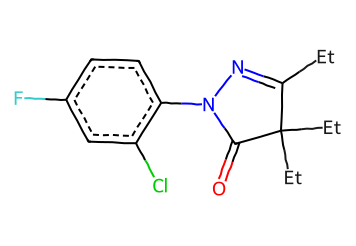 CCC1=NN(c2ccc(F)cc2Cl)C(=O)C1(CC)CC